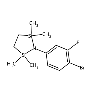 C[Si]1(C)CC[Si](C)(C)N1c1ccc(Br)c(F)c1